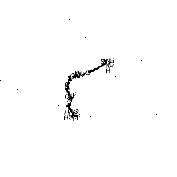 CC(C)(COC(C)(C)CCNC(=O)C(O)C(F)(F)F)NC(=O)CCC(C)(C)OCCC(C)(C)OCc1cn(CCOCCCCCCC2SCC3NC(=O)NC32)nn1